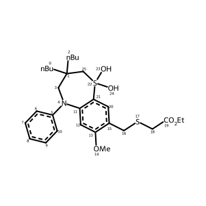 CCCCC1(CCCC)CN(c2ccccc2)c2cc(OC)c(CSCC(=O)OCC)cc2S(O)(O)C1